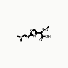 CON=C(C(=O)O)c1csc(N=CN(C)C)n1